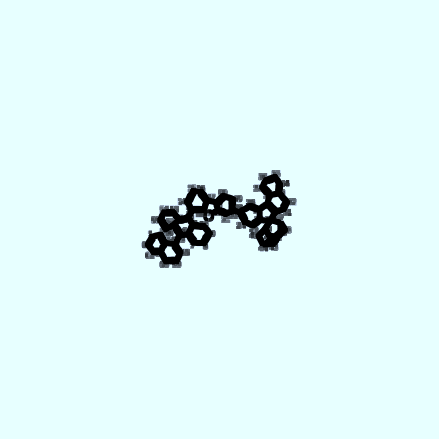 c1ccc2c(-c3c4ccccc4c(-c4cccc5c4oc4cc(-c6ccc7c(c6)-c6c(ccc8ccccc68)C76C7CC8CC(C7)CC6C8)ccc45)c4ccccc34)cccc2c1